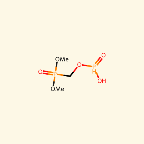 COP(=O)(CO[PH](=O)O)OC